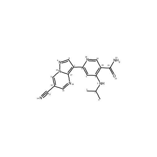 CC(C)Nc1cc(-c2cnn3cc(C#N)cnc23)ncc1C(N)=O